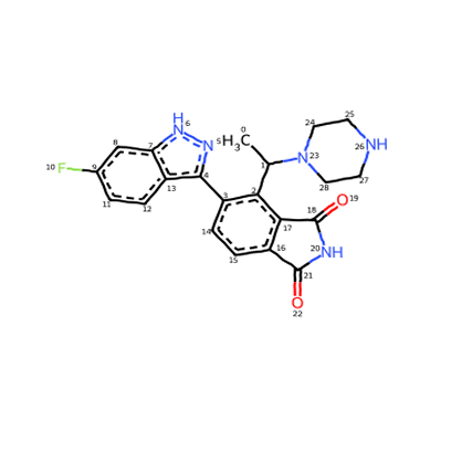 CC(c1c(-c2n[nH]c3cc(F)ccc23)ccc2c1C(=O)NC2=O)N1CCNCC1